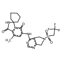 Cc1cc(Nc2ncnc3c2CN(S(=O)(=O)CC(F)(F)F)C3)c(=O)n2c1C(=O)NC21CCCCC1